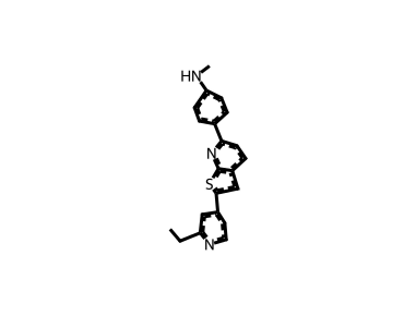 CCc1cc(-c2cc3ccc(-c4ccc(NC)cc4)nc3s2)ccn1